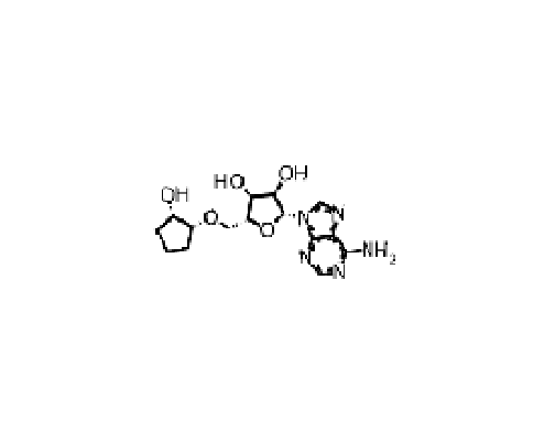 Nc1ncnc2c1ncn2[C@@H]1O[C@H](CO[C@@H]2CCC[C@@H]2O)[C@@H](O)[C@H]1O